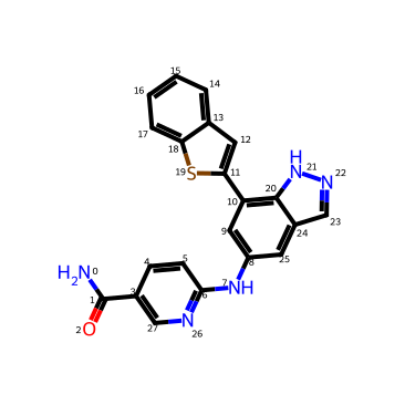 NC(=O)c1ccc(Nc2cc(-c3cc4ccccc4s3)c3[nH]ncc3c2)nc1